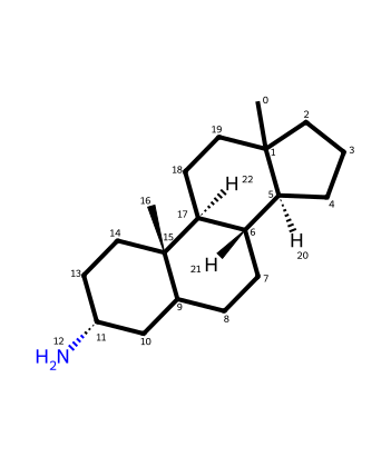 CC12CCC[C@H]1[C@@H]1CCC3C[C@H](N)CC[C@]3(C)[C@H]1CC2